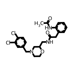 CC(=O)Nc1ccccc1CC(=O)NCC1CN(Cc2ccc(Cl)c(Cl)c2)CCO1